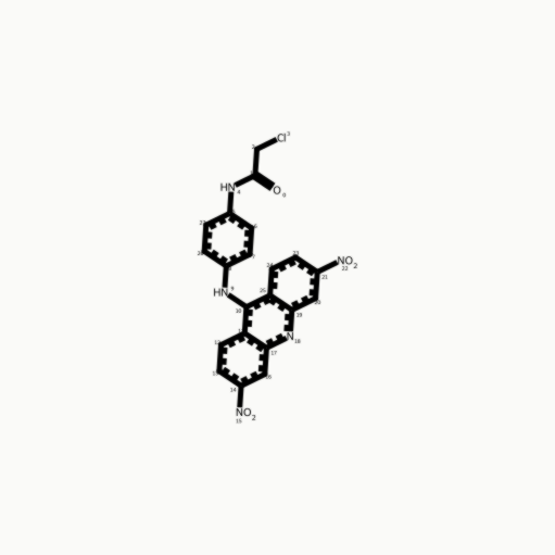 O=C(CCl)Nc1ccc(Nc2c3ccc([N+](=O)[O-])cc3nc3cc([N+](=O)[O-])ccc23)cc1